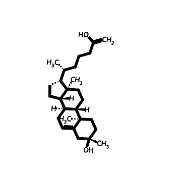 C=C(O)CCC[C@@H](C)[C@H]1CC[C@H]2[C@@H]3CC=C4C[C@@](C)(O)CC[C@]4(C)[C@H]3CC[C@]12C